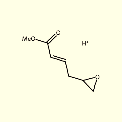 COC(=O)C=CCC1CO1.[H+]